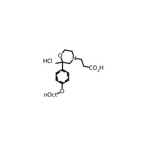 CCCCCCCCOc1ccc(C2(C)CN(CCC(=O)O)CCO2)cc1.Cl